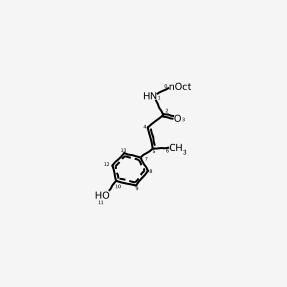 CCCCCCCCNC(=O)C=C(C)c1ccc(O)cc1